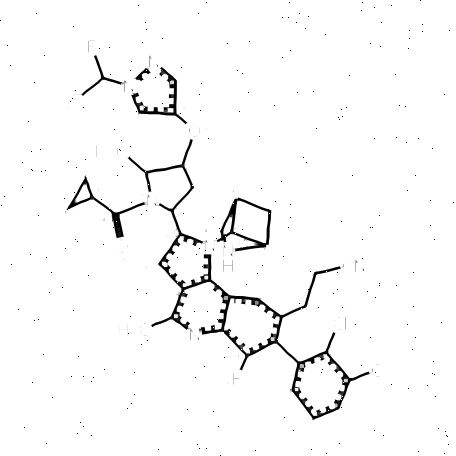 Cc1nc2c(F)c(-c3cccc(Cl)c3Cl)c(CCC#N)cc2c2c1cc(C1CC(Oc3cnn(C(F)F)c3)C(C)N1C(=O)C1CC1)n2C1C2CNC1C2